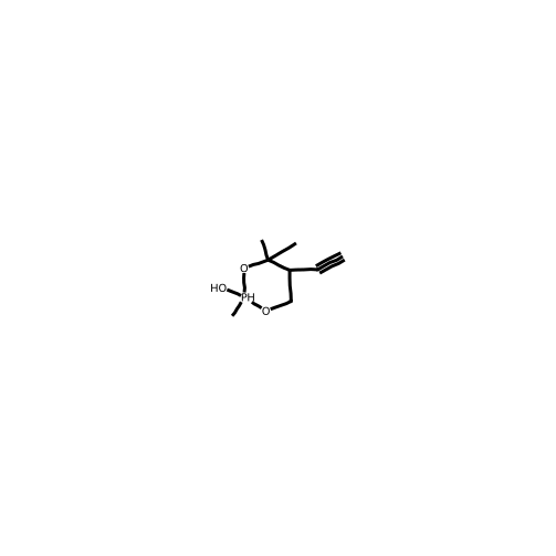 C#CC1CO[PH](C)(O)OC1(C)C